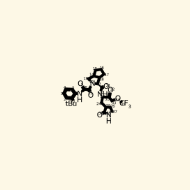 CC(C)(C)c1ccccc1NC(=O)C(=O)N1CC2CCCC2[C@H]1C(=O)NC(CC1CCNC1=O)C(=O)COC(F)(F)F